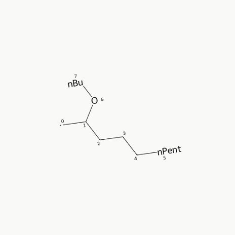 [CH2]C(CCCCCCCC)OCCCC